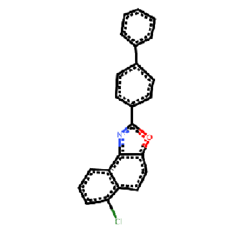 Clc1cccc2c1ccc1oc(-c3ccc(-c4ccccc4)cc3)nc12